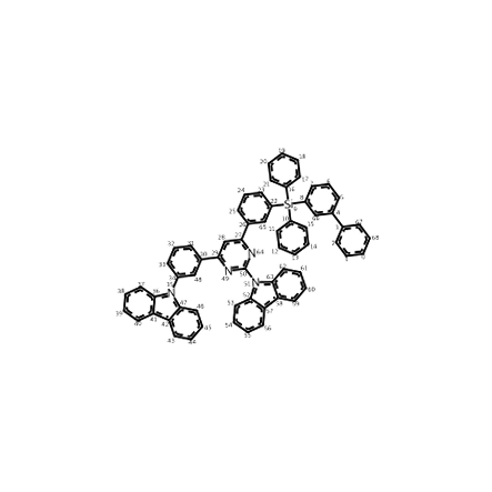 c1ccc(-c2cccc([Si](c3ccccc3)(c3ccccc3)c3cccc(-c4cc(-c5cccc(-n6c7ccccc7c7ccccc76)c5)nc(-n5c6ccccc6c6ccccc65)n4)c3)c2)cc1